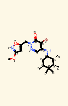 COc1cc(Cn2ncc(N[C@@H]3C[C@H](C)C(C)(C)[C@H](C)[C@H]3C)c(Br)c2=O)on1